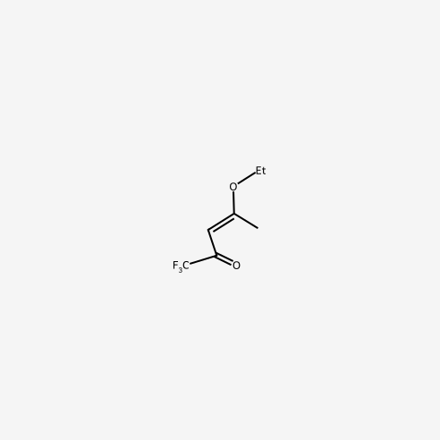 CCO/C(C)=C/C(=O)C(F)(F)F